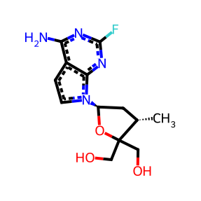 C[C@H]1C[C@H](n2ccc3c(N)nc(F)nc32)OC1(CO)CO